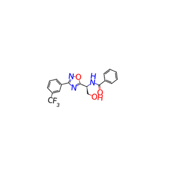 O=C(N[C@@H](CO)c1nc(-c2cccc(C(F)(F)F)c2)no1)c1ccccc1